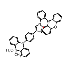 CC1(C)c2ccccc2N(c2ccc(-c3cn(-c4ccccc4N4c5ccccc5Oc5ccccc54)nn3)cc2)c2ccccc21